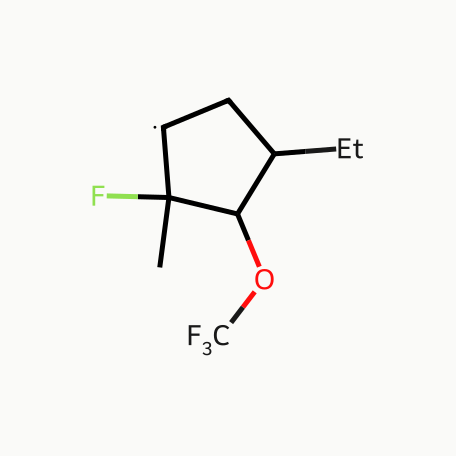 [CH2]CC1C[CH]C(C)(F)C1OC(F)(F)F